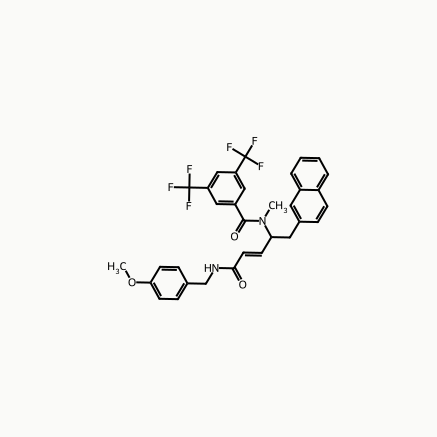 COc1ccc(CNC(=O)C=CC(Cc2ccc3ccccc3c2)N(C)C(=O)c2cc(C(F)(F)F)cc(C(F)(F)F)c2)cc1